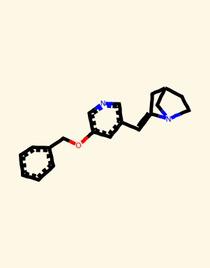 C(=C1CC2CCN1C2)c1cncc(OCc2ccccc2)c1